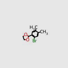 Cc1cc(Br)c(C2OCCO2)cc1C